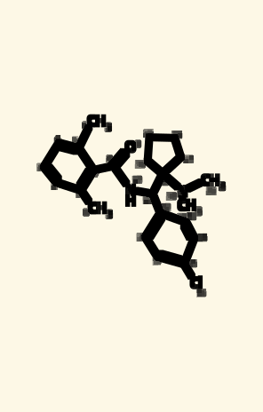 Cc1cccc(C)c1C(=O)NC(c1ccc(Cl)cc1)C1(N(C)C)CCCC1